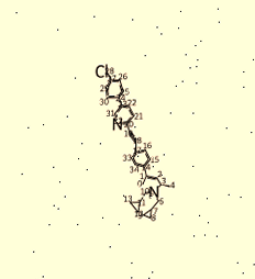 CC(=C[C@@H](C)N(CC1CC1)CC1CC1)c1ccc(C#Cc2ccc(-c3ccc(Cl)cc3)cn2)cc1